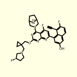 C#Cc1c(F)ccc2cc(O)cc(-c3cc(F)c4c(N5CC6CCC(C5)N6)nc(OCC5(CN6CC[C@@H](F)C6)CC5)nc4n3)c12